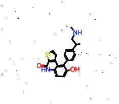 CNCC(C)c1ccc(-c2c(O)ccc3[nH]c(=O)c4sccc4c23)cc1